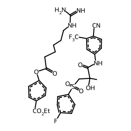 CC(O)(CS(=O)(=O)c1ccc(F)cc1)C(=O)Nc1ccc(C#N)c(C(F)(F)F)c1.CCOC(=O)c1ccc(OC(=O)CCCCCNC(=N)N)cc1